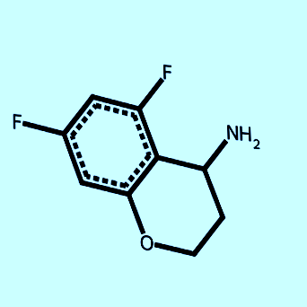 NC1CCOc2cc(F)cc(F)c21